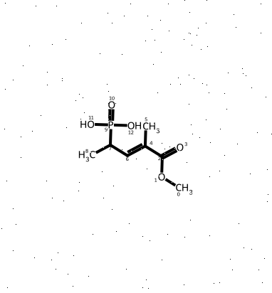 COC(=O)C(C)=CC(C)P(=O)(O)O